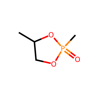 CC1COP(C)(=O)O1